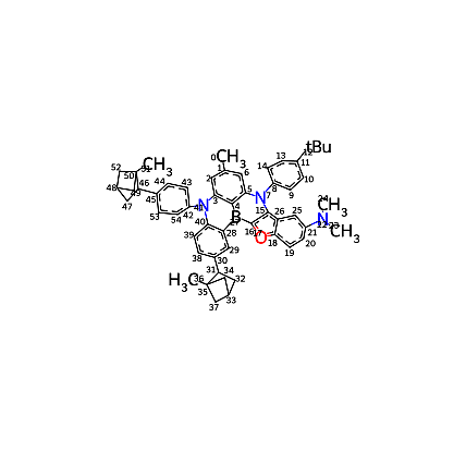 Cc1cc2c3c(c1)N(c1ccc(C(C)(C)C)cc1)c1c(oc4ccc(N(C)C)cc14)B3c1cc(C3CC4CC3(C)C4)ccc1N2c1ccc(C2CC3CC2(C)C3)cc1